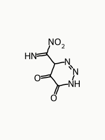 N=C(C1N=NNC(=O)C1=O)[N+](=O)[O-]